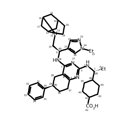 CC[C@@H](Nc1nc2c(c(N[C@@H](CN3C4CC5CC(C4)CC3C5)c3cnn(CC)c3)n1)C[C@H](c1ccccc1)CC2)C1CCC(C(=O)O)CC1